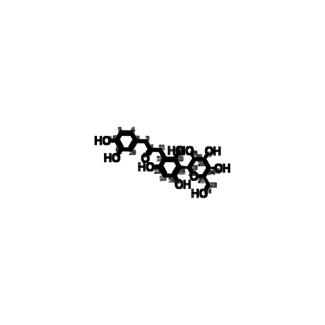 O=C(Cc1ccc(O)c(O)c1)Cc1c(O)cc(O)c([C@@H]2O[C@H](CO)[C@@H](O)[C@H](O)[C@H]2O)c1O